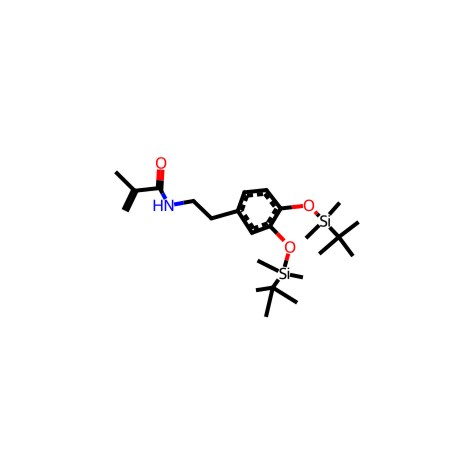 C=C(C)C(=O)NCCc1ccc(O[Si](C)(C)C(C)(C)C)c(O[Si](C)(C)C(C)(C)C)c1